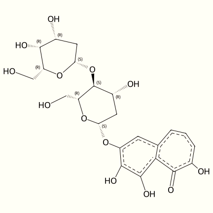 O=c1c(O)cccc2cc(O[C@H]3C[C@@H](O)[C@H](O[C@H]4C[C@@H](O)[C@@H](O)[C@@H](CO)O4)[C@@H](CO)O3)c(O)c(O)c12